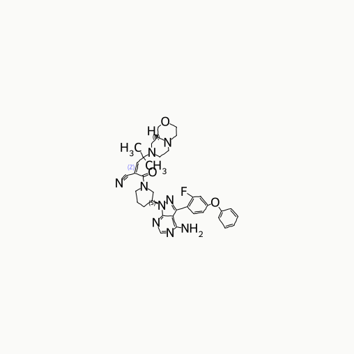 CC(C)(/C=C(/C#N)C(=O)N1CCC[C@H](n2nc(-c3ccc(Oc4ccccc4)cc3F)c3c(N)ncnc32)C1)N1CCN2CCOC[C@H]2C1